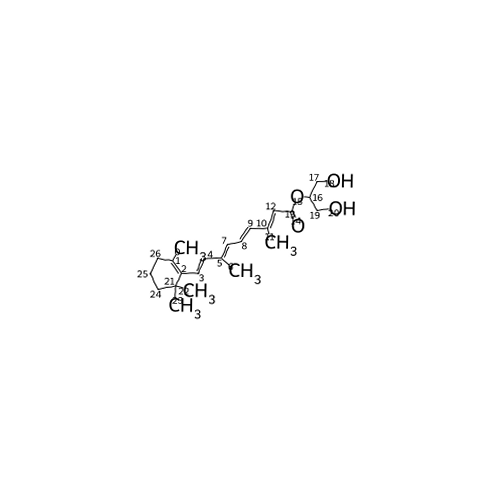 CC1=C(/C=C/C(C)=C/C=C/C(C)=C/C(=O)OC(CO)CO)C(C)(C)CCC1